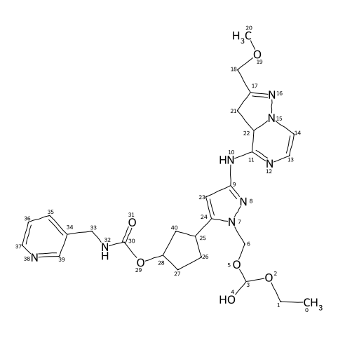 CCOC(O)OCn1nc(NC2=NC=CN3N=C(COC)CC23)cc1C1CCC(OC(=O)NCc2cccnc2)C1